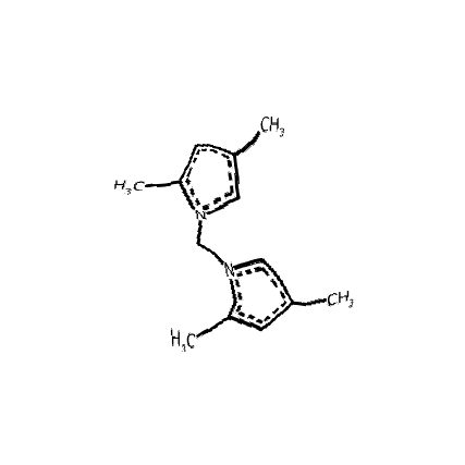 Cc1cc(C)n(Cn2cc(C)cc2C)c1